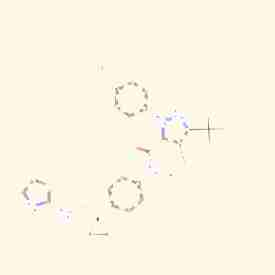 COc1ccc(-n2nc(C(F)(F)F)c3c2C(=O)N(c2ccc(C4(CNc5nccs5)CC4)cc2)CC3)cc1